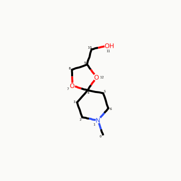 CN1CCC2(CC1)OCC(CO)O2